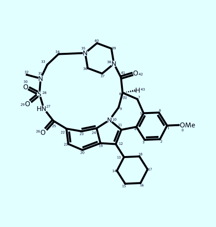 COc1ccc2c(c1)C[C@H]1Cn3c-2c(C2CCCCC2)c2ccc(cc23)C(=O)NS(=O)(=O)N(C)CCN2CCN(CC2)C1=O